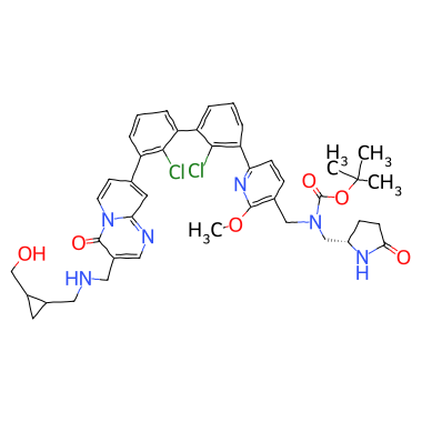 COc1nc(-c2cccc(-c3cccc(-c4ccn5c(=O)c(CNCC6CC6CO)cnc5c4)c3Cl)c2Cl)ccc1CN(C[C@@H]1CCC(=O)N1)C(=O)OC(C)(C)C